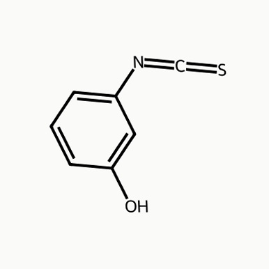 Oc1cccc(N=C=S)c1